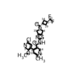 COc1cnc(Cl)cc1-c1cc(C)ncc1C(=O)Nc1nc2c(s1)CN(C(=O)[C@H]1C[C@H](C(F)F)C1)C2